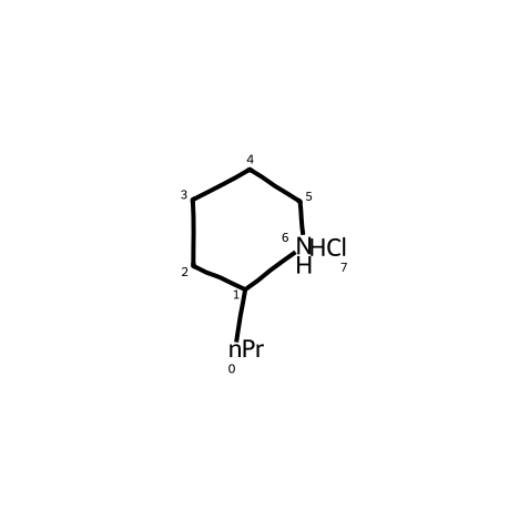 CCCC1CCCCN1.Cl